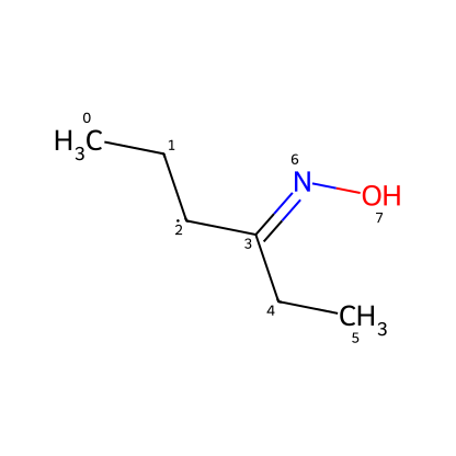 CC[CH]C(CC)=NO